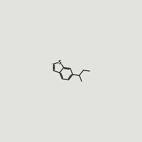 CCC(C)c1ccc2c[c]sc2c1